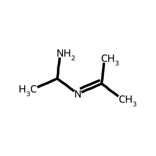 CC(C)=NC(C)N